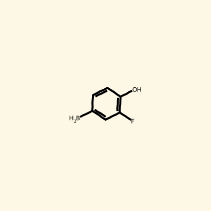 Bc1ccc(O)c(F)c1